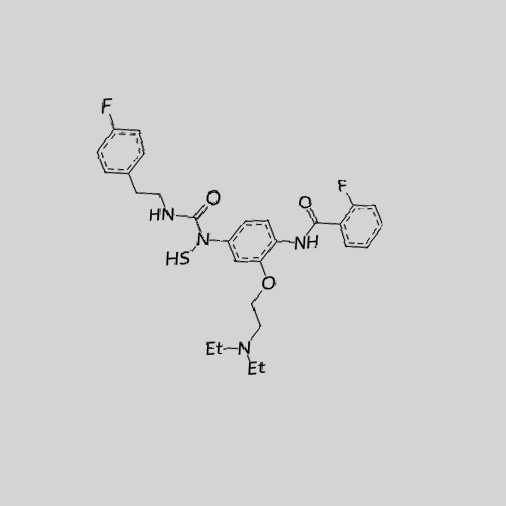 CCN(CC)CCOc1cc(N(S)C(=O)NCCc2ccc(F)cc2)ccc1NC(=O)c1ccccc1F